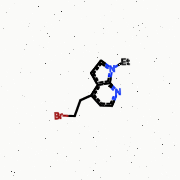 CCn1ccc2c(CCBr)ccnc21